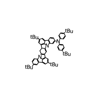 CC(C)(C)c1ccc(N(c2ccc(C(C)(C)C)cc2)c2ccc3c4cc(C(C)(C)C)cc5c4n(c3c2)C2=Cc3c(n4c6ccc(C(C)(C)C)cc6c6cc(C(C)(C)C)cc3c64)CC25)cc1